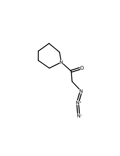 [N-]=[N+]=NCC(=O)N1CCCCC1